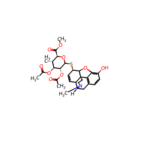 COC(=O)[C@H]1OC(S[C@@H]2C=CC3[C@H]4Cc5ccc(O)c6c5[C@@]3(CCN4C)C2O6)[C@H](OC(C)=O)[C@@H](OC(C)=O)[C@@H]1C